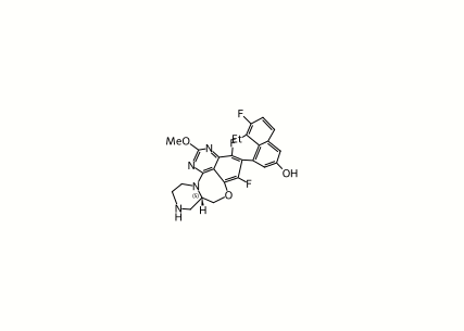 CCc1c(F)ccc2cc(O)cc(-c3c(F)c4c5c(nc(OC)nc5c3F)N3CCNC[C@H]3CO4)c12